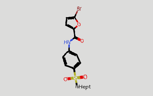 CCCCCCCS(=O)(=O)c1ccc(NC(=O)c2ccc(Br)o2)cc1